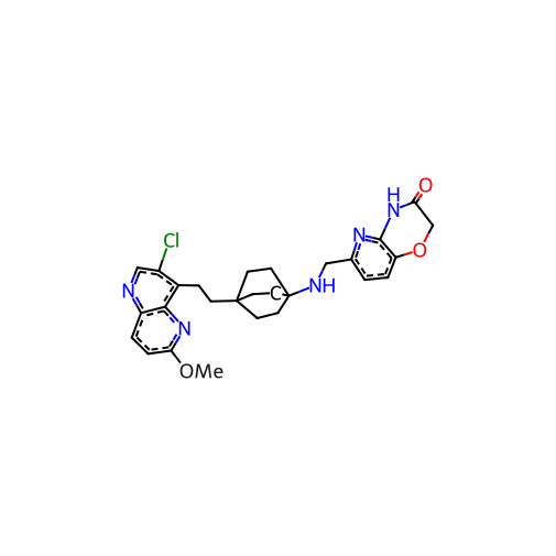 COc1ccc2ncc(Cl)c(CCC34CCC(NCc5ccc6c(n5)NC(=O)CO6)(CC3)CC4)c2n1